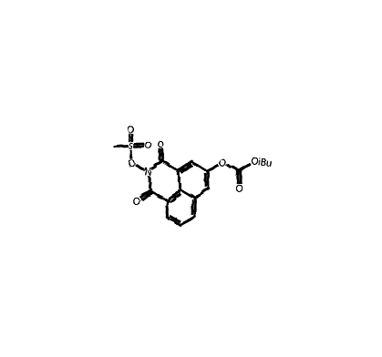 CC(C)COC(=O)Oc1cc2c3c(cccc3c1)C(=O)N(OS(C)(=O)=O)C2=O